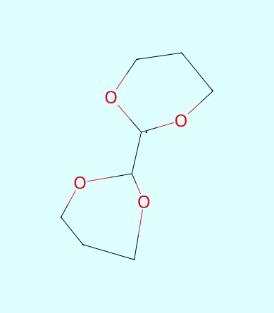 C1CO[C](C2OCCCO2)OC1